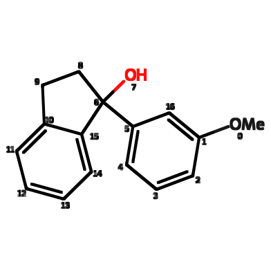 COc1cccc(C2(O)CCc3ccccc32)c1